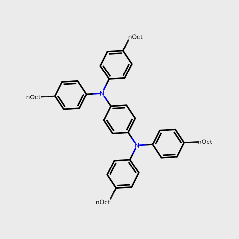 CCCCCCCCc1ccc(N(c2ccc(CCCCCCCC)cc2)c2ccc(N(c3ccc(CCCCCCCC)cc3)c3ccc(CCCCCCCC)cc3)cc2)cc1